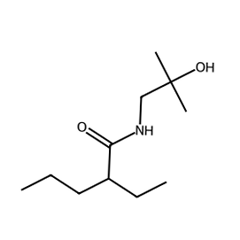 CCCC(CC)C(=O)NCC(C)(C)O